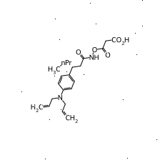 C=CCN(CC=C)c1ccc(CCC(=O)NOC(=O)CC(=O)O)cc1.CCCC